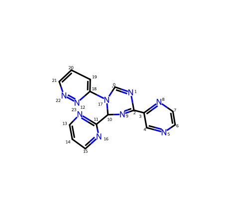 [C]1=NC(c2cnccn2)=NC(c2ncccn2)N1c1cccnn1